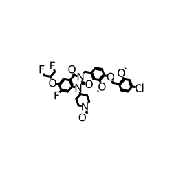 COc1cc(Cl)ccc1COc1ccc(Cn2c(=O)c3cc(OC(CF)CF)c(F)cc3n(C3CCN(C=O)CC3)c2=O)cc1OC